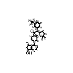 C[C@@H]1C[C@@H](O)c2ncnc(N3CCN(C(=O)C(c4cccc(C(F)(F)F)c4)C4CCC(C)(C)N4)CC3)c21